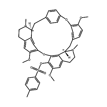 COc1ccc2cc1Oc1ccc(cc1)C[C@H]1c3cc(c(OC)cc3CCN1C)Oc1c(OS(=O)(=O)c3ccc(C)cc3)c(OC)cc3c1[C@H](C2)N(C)CC3